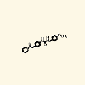 COc1ccc(CNC(=O)Nc2ccc(CC(=O)N3CCCCC3)cc2)cc1